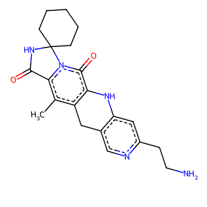 Cc1c2c(c(=O)n3c1C(=O)NC31CCCCC1)Nc1cc(CCN)ncc1C2